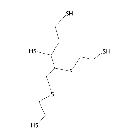 SCCSCC(SCCS)C(S)CCS